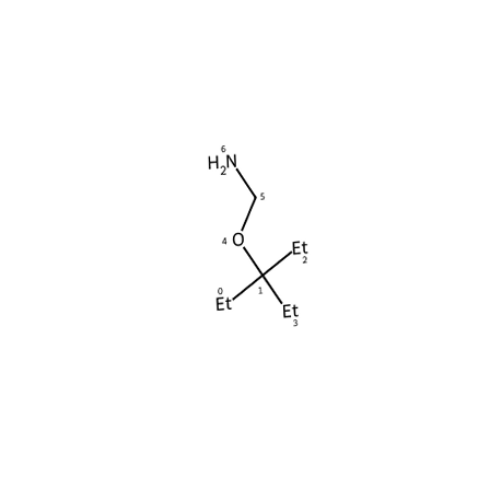 CCC(CC)(CC)OCN